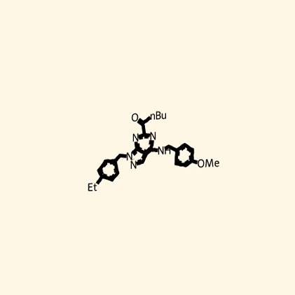 CCCCC(=O)c1nc(NCc2ccc(OC)cc2)c2cnn(Cc3ccc(CC)cc3)c2n1